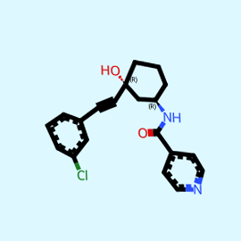 O=C(N[C@@H]1CCC[C@](O)(C#Cc2cccc(Cl)c2)C1)c1ccncc1